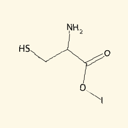 NC(CS)C(=O)OI